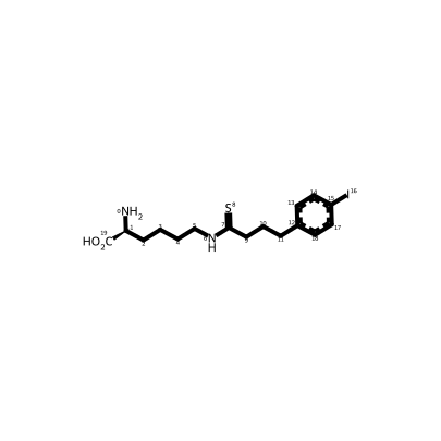 N[C@@H](CCCCNC(=S)CCCc1ccc(I)cc1)C(=O)O